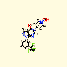 Cc1nn(-c2cccc(C(F)(F)F)c2)c2ncn(C3CCN(O)CC3)c(=O)c12